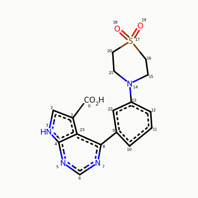 O=C(O)c1c[nH]c2ncnc(-c3cccc(N4CCS(=O)(=O)CC4)c3)c12